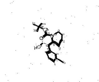 Cc1cccc([C@H](CO)C2CCCCN2C(=O)OC(C)(C)C)c1